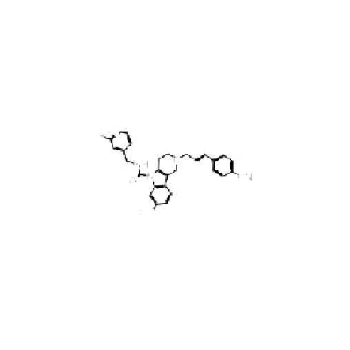 N#Cc1ccc(/C=C/CN2CCc3c(c4ccc(C(F)(F)F)cc4n3C(=O)NCc3ccnc(F)c3)C2)cc1